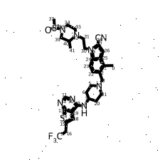 Cc1c(CN2CCC(Nc3ncnc4sc(CC(F)(F)F)cc34)CC2)ccc2c1cc(C#N)n2CCN1CCN([S+](C)[O-])CC1C